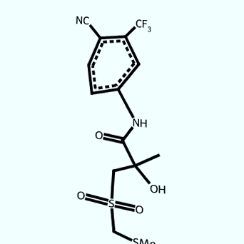 CSCS(=O)(=O)CC(C)(O)C(=O)Nc1ccc(C#N)c(C(F)(F)F)c1